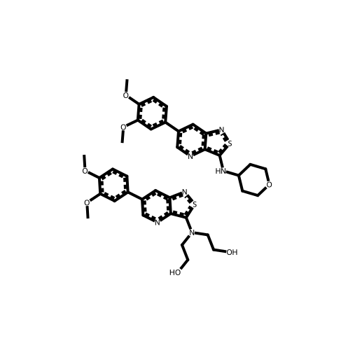 COc1ccc(-c2cnc3c(N(CCO)CCO)snc3c2)cc1OC.COc1ccc(-c2cnc3c(NC4CCOCC4)snc3c2)cc1OC